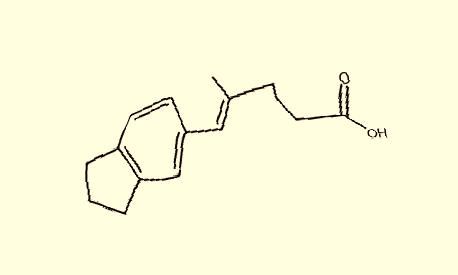 C/C(=C\c1ccc2c(c1)CCC2)CCC(=O)O